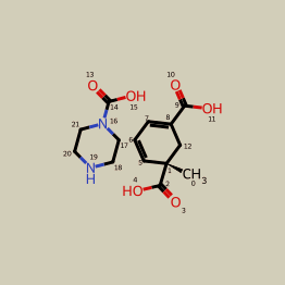 C[C@@]1(C(=O)O)C=CC=C(C(=O)O)C1.O=C(O)N1CCNCC1